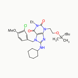 CCn1c(=O)c2c(nc(NC3CCCCC3)n2Cc2ccc(OC)c(Cl)c2)n(CCO[Si](C)(C)C(C)(C)C)c1=O